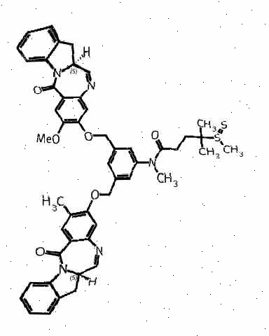 COc1cc2c(cc1OCc1cc(COc3cc4c(cc3C)C(=O)N3c5ccccc5C[C@H]3C=N4)cc(N(C)C(=O)CCC(C)(C)S(C)=S)c1)N=C[C@@H]1Cc3ccccc3N1C2=O